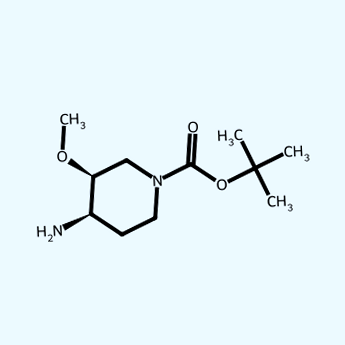 CO[C@H]1CN(C(=O)OC(C)(C)C)CC[C@H]1N